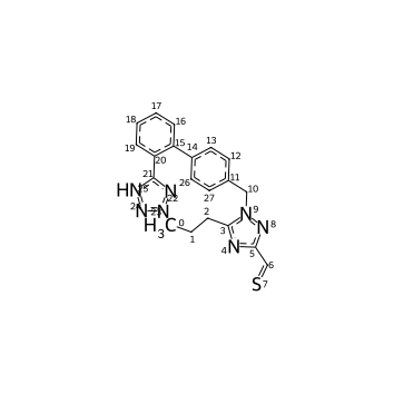 CCCc1nc(C=S)nn1Cc1ccc(-c2ccccc2-c2nnn[nH]2)cc1